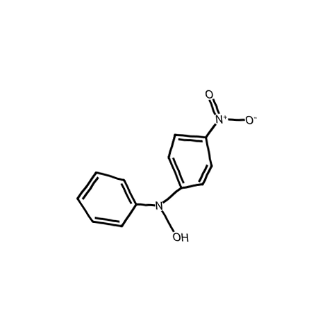 O=[N+]([O-])c1ccc(N(O)c2ccccc2)cc1